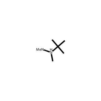 CN[SiH](C)C(C)(C)C